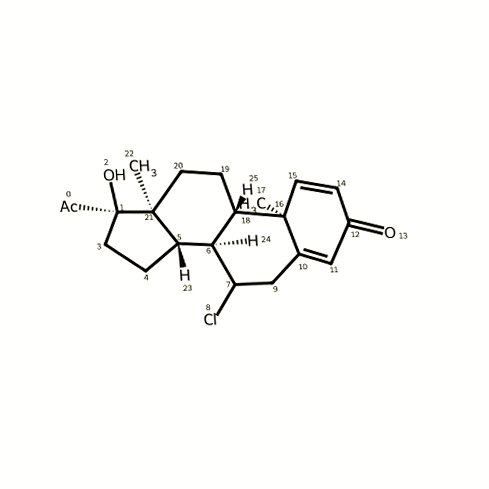 CC(=O)[C@@]1(O)CC[C@H]2[C@@H]3C(Cl)CC4=CC(=O)C=C[C@]4(C)[C@H]3CC[C@@]21C